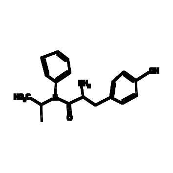 CC(C(=O)O)N(C(=O)C(N)Cc1ccc(O)cc1)c1ccccc1